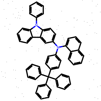 c1ccc(-n2c3ccccc3c3cc(N(c4ccc(C(c5ccccc5)(c5ccccc5)c5ccccc5)cc4)c4cccc5ccccc45)ccc32)cc1